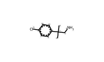 CC(C)(CN)c1ccc(Cl)cc1